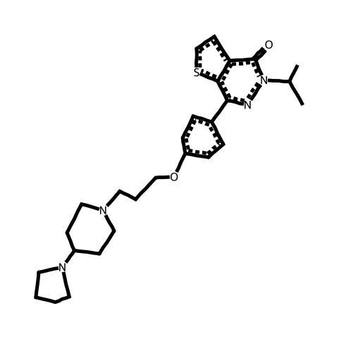 CC(C)n1nc(-c2ccc(OCCCN3CCC(N4CCCC4)CC3)cc2)c2sccc2c1=O